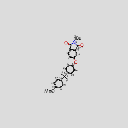 CCCCN1C(=O)c2ccc(Oc3ccc(C(C)(C)c4ccc(OC)cc4)cc3)cc2C1=O